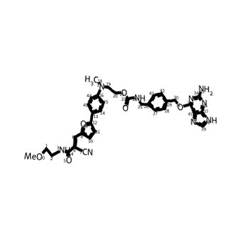 COCCNC(=O)/C(C#N)=C/c1ccc(-c2ccc(N(C)CCOC(=O)NCc3ccc(COc4nc(N)nc5[nH]cnc45)cc3)cc2)o1